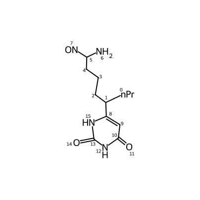 CCCC(CCCC(N)N=O)c1cc(=O)[nH]c(=O)[nH]1